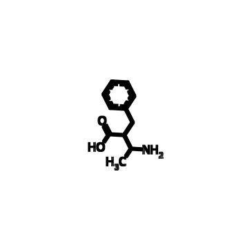 CC(N)C(Cc1ccccc1)C(=O)O